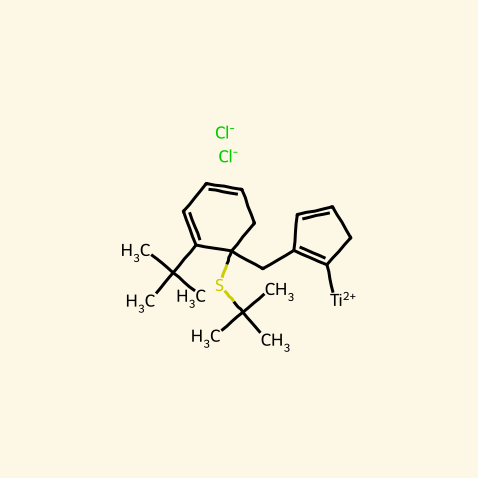 CC(C)(C)SC1(CC2=[C]([Ti+2])CC=C2)CC=CC=C1C(C)(C)C.[Cl-].[Cl-]